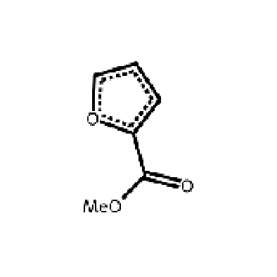 [CH2]OC(=O)c1ccco1